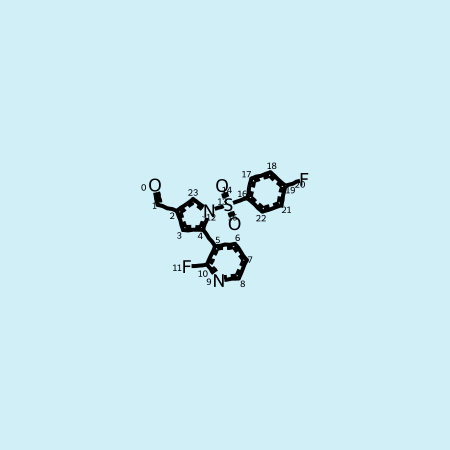 O=Cc1cc(-c2cccnc2F)n(S(=O)(=O)c2ccc(F)cc2)c1